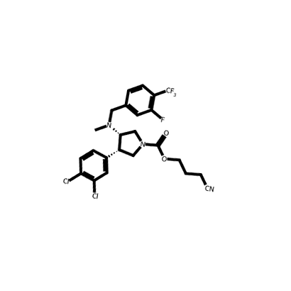 CN(Cc1ccc(C(F)(F)F)c(F)c1)[C@@H]1CN(C(=O)OCCCC#N)C[C@@H]1c1ccc(Cl)c(Cl)c1